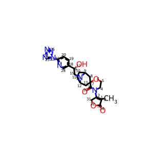 CC1=C(N2CCOC3(CC4CCC(C3)N4C[C@H](O)c3ccc(-n4cnnn4)nc3)C2=O)COC1=O